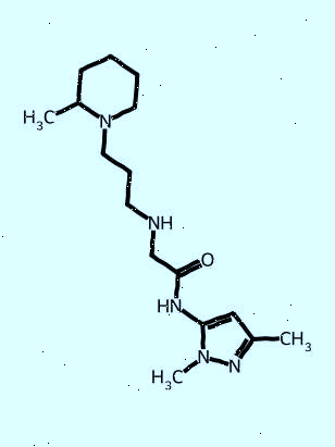 Cc1cc(NC(=O)CNCCCN2CCCCC2C)n(C)n1